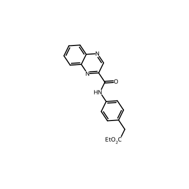 CCOC(=O)Cc1ccc(NC(=O)c2cnc3ccccc3n2)cc1